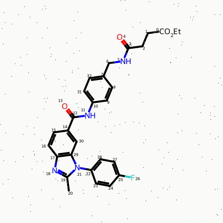 CCOC(=O)CCC(=O)NCc1ccc(NC(=O)c2ccc3nc(C)n(-c4ccc(F)cc4)c3c2)cc1